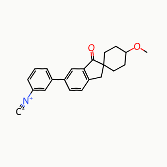 [C-]#[N+]c1cccc(-c2ccc3c(c2)C(=O)C2(CCC(OC)CC2)C3)c1